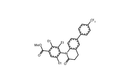 CCc1cc(C(=O)OC)c(CC)c(CC)c1N1C(=O)CCc2cc(-c3ccc(C(F)(F)F)cc3)ccc21